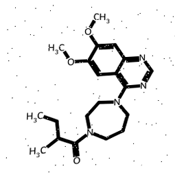 CCC(C)C(=O)N1CCCN(c2ncnc3cc(OC)c(OC)cc23)CC1